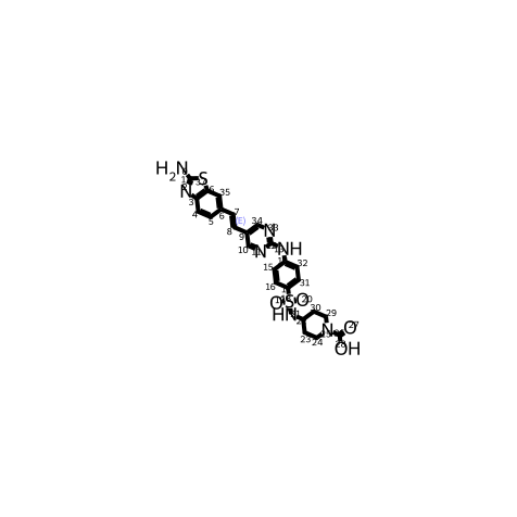 Nc1nc2ccc(/C=C/c3cnc(Nc4ccc(S(=O)(=O)NC5CCN(C(=O)O)CC5)cc4)nc3)cc2s1